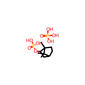 CC1(C)C2CCC1(C)C(OP(=O)(O)O)C2.O=P(O)(O)O